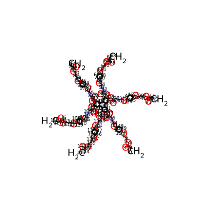 C=CC(=O)OCCCOc1ccc(OC/C=C/C(=O)Oc2cc3c4cc(OC(=O)/C=C/COc5ccc(OCCCOC(=O)C=C)cc5)c(OC(=O)/C=C/COc5ccc(OCCCOC(=O)C=C)cc5)cc4c4cc(OC(=O)/C=C/COc5ccc(OCCCOC(=O)C=C)cc5)c(OC(=O)/C=C/COc5ccc(OCCCOC(=O)C=C)cc5)cc4c3cc2OC(=O)/C=C/COc2ccc(OCCCOC(=O)C=C)cc2)cc1